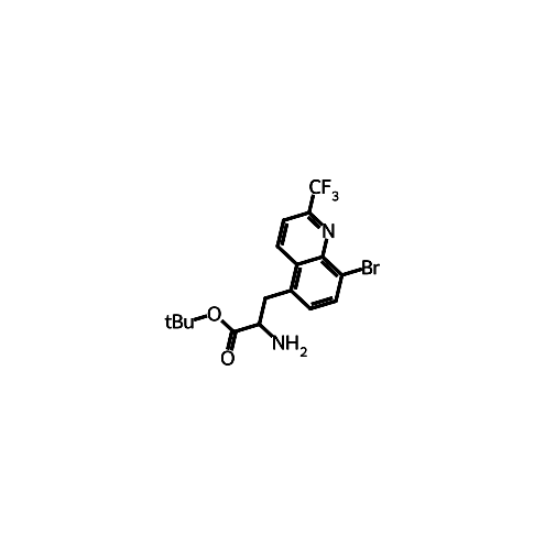 CC(C)(C)OC(=O)C(N)Cc1ccc(Br)c2nc(C(F)(F)F)ccc12